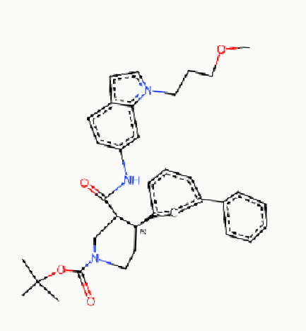 COCCCn1ccc2ccc(NC(=O)C3CN(C(=O)OC(C)(C)C)CC[C@@H]3c3cccc(-c4ccccc4)c3)cc21